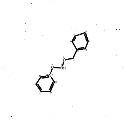 B(OCc1ccccc1)O[n+]1ccccc1